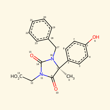 C[C@]1(c2ccc(O)cc2)C(=O)N(CC(=O)O)C(=O)N1Cc1ccccc1